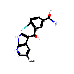 COc1cnc2[nH]cc(C(=O)c3cc(C(N)=O)ccc3F)c2c1